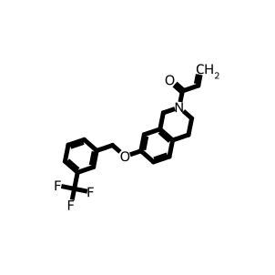 C=CC(=O)N1CCc2ccc(OCc3cccc(C(F)(F)F)c3)cc2C1